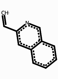 [CH]=Cc1cc2ccccc2cn1